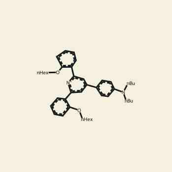 CCCCCCOc1ccccc1-c1cc(-c2ccc(N(CCCC)CCCC)cc2)cc(-c2ccccc2OCCCCCC)n1